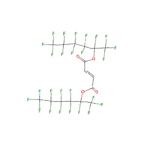 O=C(C=CC(=O)OC(F)(C(F)(F)F)C(F)(F)C(F)(F)C(F)(F)C(F)(F)F)OC(F)(C(F)(F)F)C(F)(F)C(F)(F)C(F)(F)C(F)(F)F